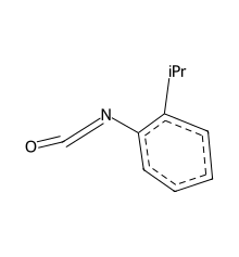 CC(C)c1ccccc1N=C=O